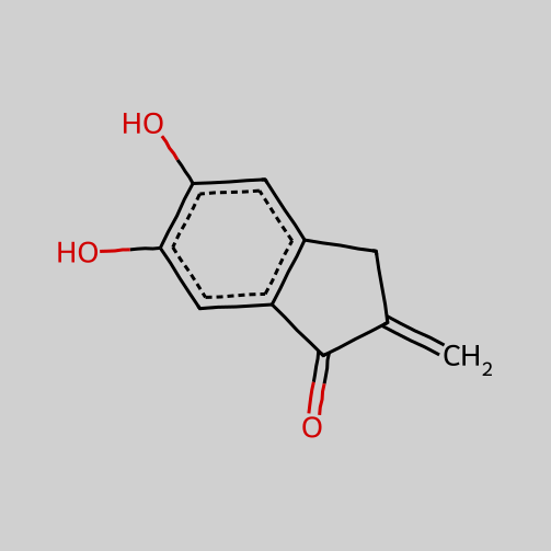 C=C1Cc2cc(O)c(O)cc2C1=O